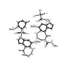 COc1cc2[nH]ccc2c2c1OCCN(C(=O)OC(C)(C)C)C2C.COc1ccc(C)cc1S(=O)(=O)n1ccc2c3c(c(OC)cc21)OCCNC3C.O=C(O)C(F)(F)F